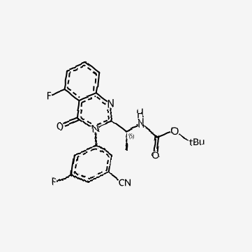 C[C@H](NC(=O)OC(C)(C)C)c1nc2cccc(F)c2c(=O)n1-c1cc(F)cc(C#N)c1